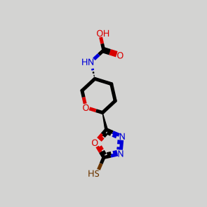 O=C(O)N[C@@H]1CC[C@@H](c2nnc(S)o2)OC1